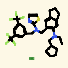 CCN(CC1CCCC1)c1cc2c(cc1CN(Cc1cc(C(F)(F)F)cc(C(F)(F)F)c1)c1nccs1)CCC2.Cl